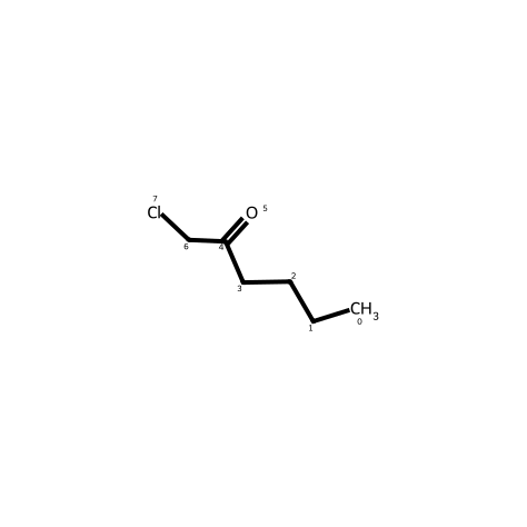 CCCCC(=O)CCl